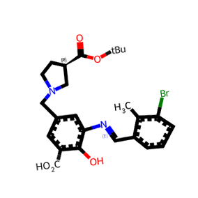 Cc1c(Br)cccc1/C=N/c1cc(CN2CC[C@@H](C(=O)OC(C)(C)C)C2)cc(C(=O)O)c1O